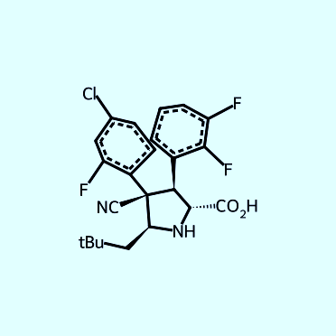 CC(C)(C)C[C@@H]1N[C@@H](C(=O)O)[C@H](c2cccc(F)c2F)[C@@]1(C#N)c1ccc(Cl)cc1F